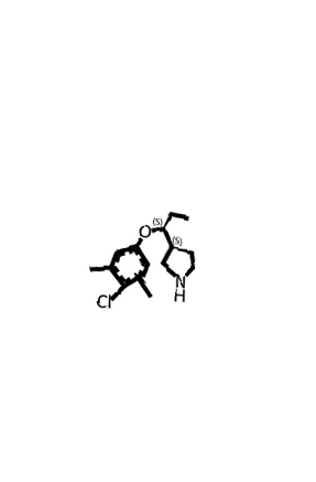 CC[C@H](Oc1cc(C)c(Cl)c(C)c1)[C@H]1CCNC1